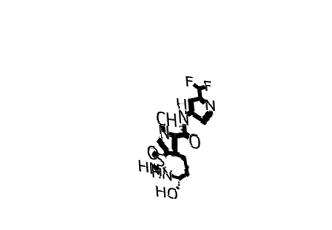 Cn1cc2c(c1C(=O)Nc1ccnc(C(F)F)c1)CC[C@H](CO)NS2(=N)=O